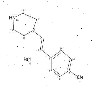 Cl.N#Cc1ccc(C=CC2CCNCC2)cc1